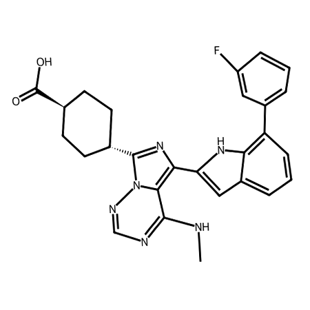 CNc1ncnn2c1c(-c1cc3cccc(-c4cccc(F)c4)c3[nH]1)nc2[C@H]1CC[C@H](C(=O)O)CC1